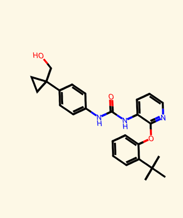 CC(C)(C)c1ccccc1Oc1ncccc1NC(=O)Nc1ccc(C2(CO)CC2)cc1